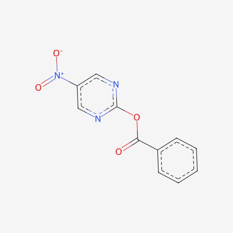 O=C(Oc1ncc([N+](=O)[O-])cn1)c1ccccc1